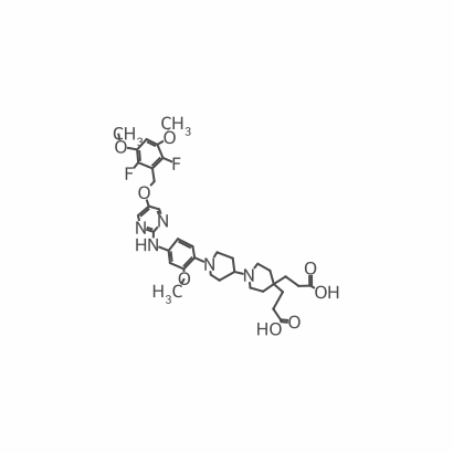 COc1cc(Nc2ncc(OCc3c(F)c(OC)cc(OC)c3F)cn2)ccc1N1CCC(N2CCC(CCC(=O)O)(CCC(=O)O)CC2)CC1